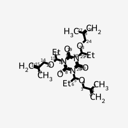 C=C(C)COC(CC)n1c(=O)n(C(CC)OCC(=C)C)c(=O)n(C(CC)OCC(=C)C)c1=O